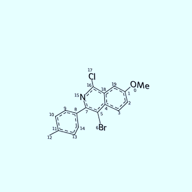 COc1ccc2c(Br)c(-c3ccc(C)cc3)nc(Cl)c2c1